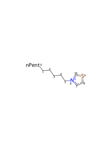 CCCCCCCCCC[n+]1ccsc1